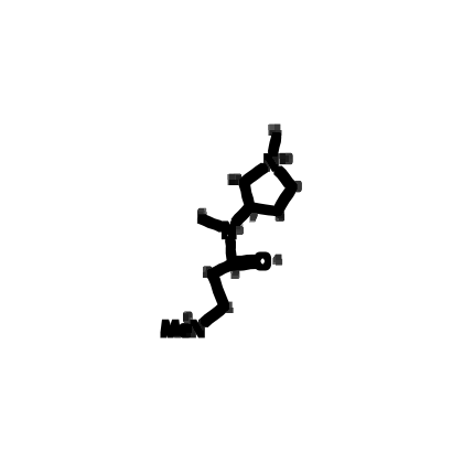 CNCCC(=O)N(C)C1CCN(C)C1